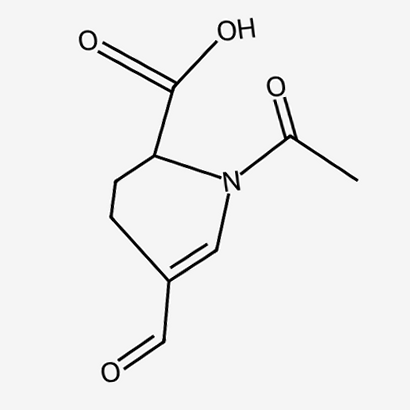 CC(=O)N1C=C(C=O)CCC1C(=O)O